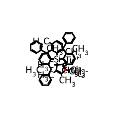 CC1=C(C)C(C)([Si](c2c(C)ccc(C)c2Cc2ccccc2)(c2c(C)ccc(C)c2Cc2ccccc2)c2c(C)ccc(C)c2Cc2ccccc2)[C]([Ti+3])=C1C.[Cl-].[Cl-].[Cl-]